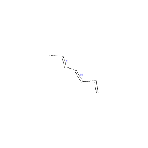 [CH2]/C=C/C=C/C=C